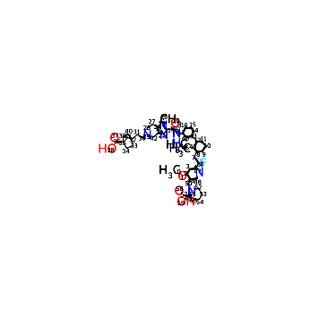 COc1cc(/C(F)=C/c2cccc(-c3cccc(NC(=O)c4nc5c(n4C)CCN(CCC46CCC(C(=O)O)(CC4)C6)C5)c3C)c2C)ncc1CN1CCCC[C@H]1C(=O)O